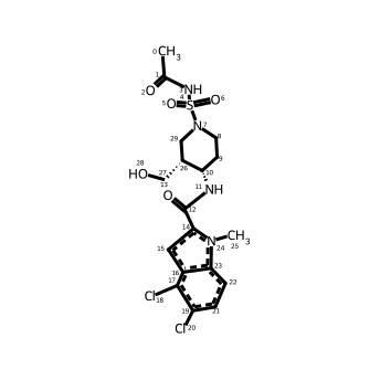 CC(=O)NS(=O)(=O)N1CC[C@H](NC(=O)c2cc3c(Cl)c(Cl)ccc3n2C)[C@H](CO)C1